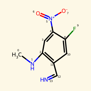 CNc1cc([N+](=O)[O-])c(F)cc1C=N